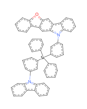 c1ccc([Si](c2ccccc2)(c2cccc(-n3c4ccccc4c4ccccc43)c2)c2cccc(-n3c4ccccc4c4cc5oc6ccccc6c5cc43)c2)cc1